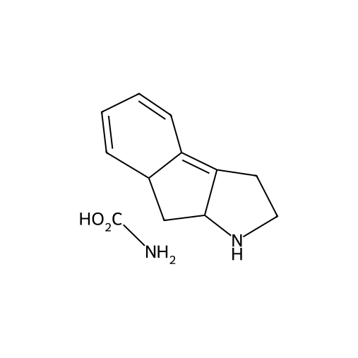 C1=CC2=C3CCNC3CC2C=C1.NC(=O)O